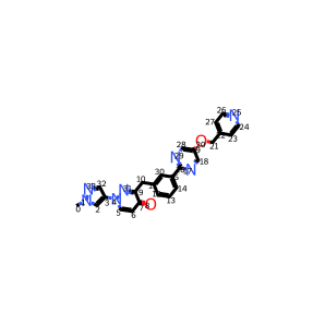 Cn1cc(-n2ccc(=O)c(Cc3cccc(-c4ncc(OCc5ccncc5)cn4)c3)n2)cn1